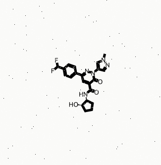 Cn1cc(-n2nc(-c3ccc(C(F)F)cc3)cc(C(=O)N[C@@H]3CCC[C@@H]3O)c2=O)cn1